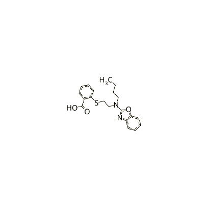 CCCCN(CCSc1ccccc1C(=O)O)c1nc2ccccc2o1